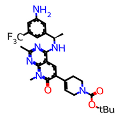 Cc1nc(N[C@H](C)c2cc(N)cc(C(F)(F)F)c2)c2cc(C3=CCN(C(=O)OC(C)(C)C)CC3)c(=O)n(C)c2n1